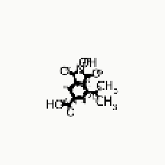 CC(C)c1cc(C(=O)O)cc2c1C(=O)N(O)C2=O